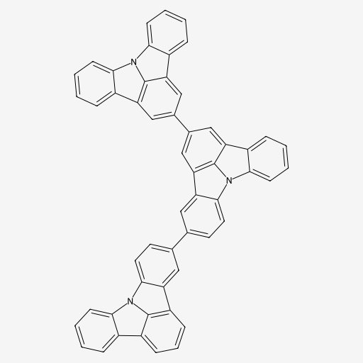 c1ccc2c(c1)c1cccc3c4cc(-c5ccc6c(c5)c5cc(-c7cc8c9ccccc9n9c%10ccccc%10c(c7)c89)cc7c8ccccc8n6c75)ccc4n2c13